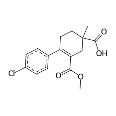 COC(=O)C1=C(c2ccc(Cl)cc2)CCC(C)(C(=O)O)C1